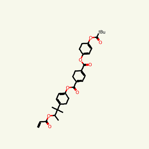 C=CC(=O)OC(C)C(C)(C)C1=CC=C(OC(=O)C2=CC=C(C(=O)OC3=CC=C(OC(=O)C(C)(C)C)CC3)CC2)CC1